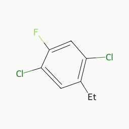 CCc1cc(Cl)c(F)cc1Cl